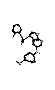 COc1ccc(Nc2cnc3[nH]cc(C(=O)c4ccccc4F)c3c2)cc1